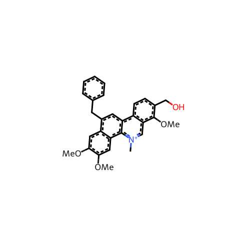 COc1cc2c(Cc3ccccc3)cc3c4ccc(CO)c(OC)c4c[n+](C)c3c2cc1OC